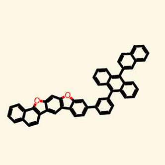 c1cc(-c2ccc3c(c2)oc2cc4oc5c6ccccc6ccc5c4cc23)cc(-c2c3ccccc3c(-c3ccc4ccccc4c3)c3ccccc23)c1